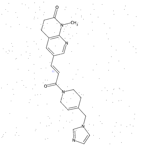 CN1C(=O)CCc2cc(/C=C/C(=O)N3CC=C(Cn4ccnc4)CC3)cnc21